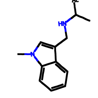 CC(=O)C(C)NCc1cn(C)c2ccccc12